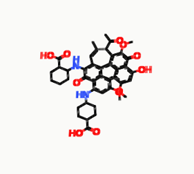 COc1c2c3c4c(c(NC5CCCCC5C(=O)O)c(=O)c5c(NC6CCC(C(=O)O)CC6)cc(OC)c(c6c(OC)cc(O)c(c1=O)c63)c54)C=C(C)C2C(C)=O